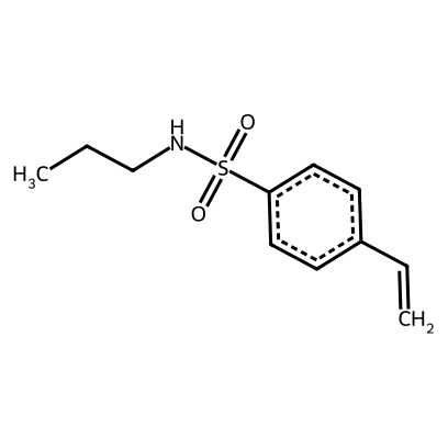 C=Cc1ccc(S(=O)(=O)NCCC)cc1